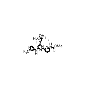 COC(=O)Nc1cccc(-c2nc(NCC(C)(C)O)cc(Nc3ccnc(C(F)(F)F)c3)n2)n1